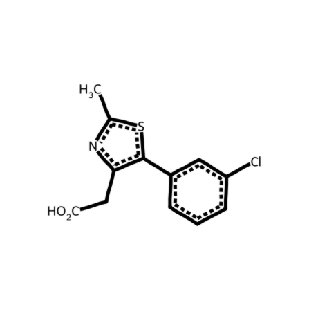 Cc1nc(CC(=O)O)c(-c2cccc(Cl)c2)s1